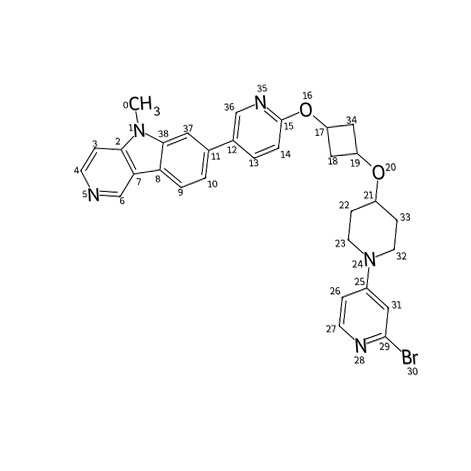 Cn1c2ccncc2c2ccc(-c3ccc(OC4CC(OC5CCN(c6ccnc(Br)c6)CC5)C4)nc3)cc21